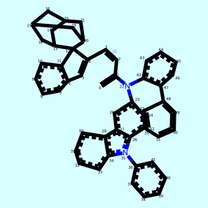 C=C(/C=C\C1=Cc2ccccc2C12C1CC3CC(C1)CC2C3)N(c1ccc2c(c1)c1ccccc1n2-c1ccccc1)c1ccccc1C1=C=C=CC=C1